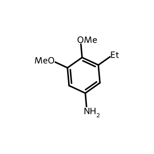 CCc1cc(N)cc(OC)c1OC